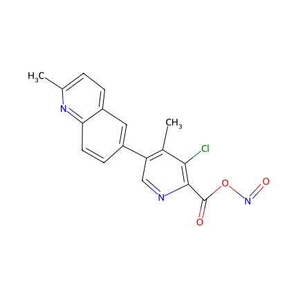 Cc1ccc2cc(-c3cnc(C(=O)ON=O)c(Cl)c3C)ccc2n1